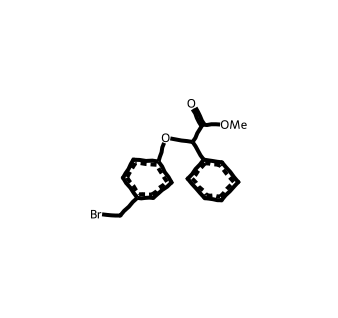 COC(=O)C(Oc1ccc(CBr)cc1)c1ccccc1